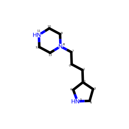 C(CC1CCNC1)CN1CCNCC1